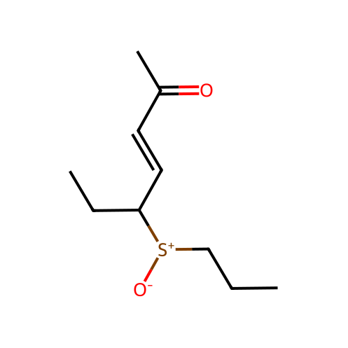 CCC[S+]([O-])C(C=CC(C)=O)CC